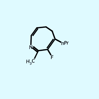 CCC/C1=C(F)/C(C)=N\C=C/CC1